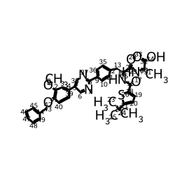 COc1cc(-c2cnc(-c3ccc(C[C@H](NC(=O)c4ccc(C(C)(C)C)s4)C(=O)N[C@H](C)C(=O)O)cc3)nc2)ccc1OCc1ccccc1